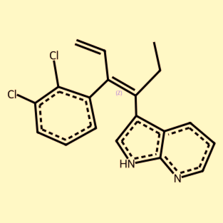 C=C/C(=C(\CC)c1c[nH]c2ncccc12)c1cccc(Cl)c1Cl